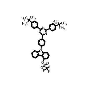 CC(C)(C)c1ccc(-c2nc(-c3ccc(-n4c5ccccc5c5c(OS(=O)(=O)C(F)(F)F)cccc54)cc3)nc(-c3ccc(C(C)(C)C)cc3)n2)cc1